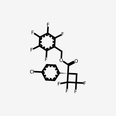 O=C(OCc1c(F)c(F)c(F)c(F)c1F)[C@@]1(c2ccc(Cl)cc2)CC(F)(F)C1(F)F